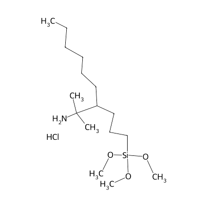 CCCCCCC(CCC[Si](OC)(OC)OC)C(C)(C)N.Cl